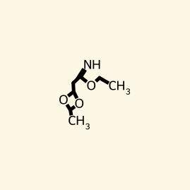 CCOC(=N)CC1OC(C)O1